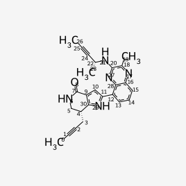 CC#CC[C@@H]1CNC(=O)c2cc(-c3cccc4nc(C)c(N[C@H](C)C#CC)nc34)[nH]c21